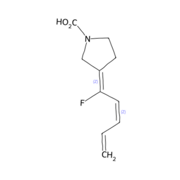 C=C/C=C\C(F)=C1/CCN(C(=O)O)C1